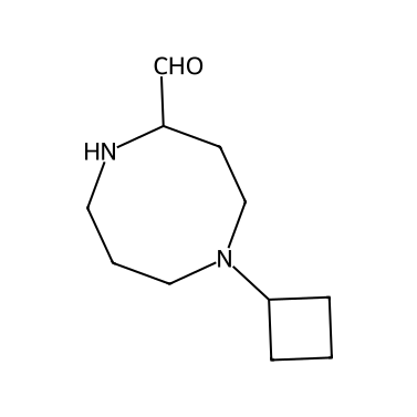 O=CC1CCN(C2CCC2)CCCN1